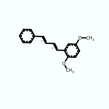 COc1ccc(OC)c(/C=C/C=C/c2ccccc2)c1